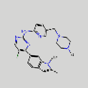 CCN1CCN(Cc2ccc(Nc3ncc(F)c(-c4ccc5cc(C)n(C(C)C)c5c4)n3)nc2)CC1